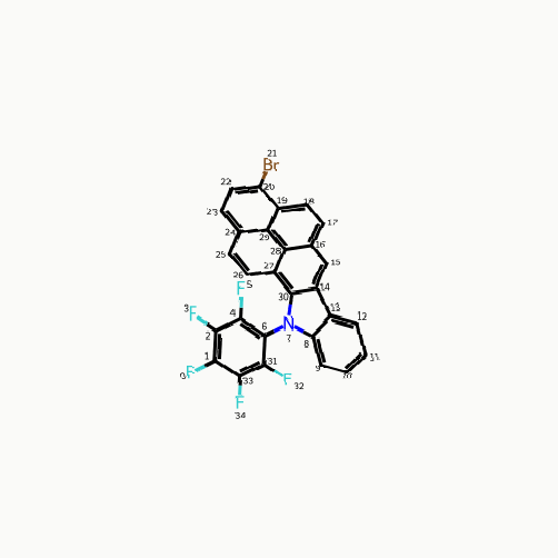 Fc1c(F)c(F)c(-n2c3ccccc3c3cc4ccc5c(Br)ccc6ccc(c4c65)c32)c(F)c1F